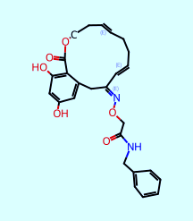 O=C(CO/N=C1/C=C/CC/C=C/CCOC(=O)c2c(O)cc(O)cc2C1)NCc1ccccc1